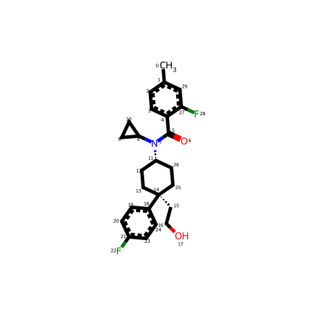 Cc1ccc(C(=O)N(C2CC2)[C@H]2CC[C@](CCO)(c3ccc(F)cc3)CC2)c(F)c1